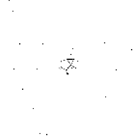 C=C1OCC2CC12C